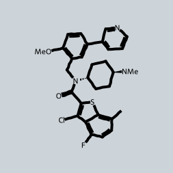 CN[C@H]1CC[C@H](N(Cc2cc(-c3cccnc3)ccc2OC)C(=O)c2sc3c(C)ccc(F)c3c2Cl)CC1